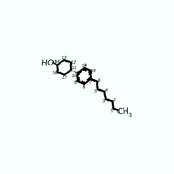 CCCCCCCc1ccc([C@H]2CC[C@H](O)CC2)cc1